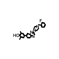 Cc1cc(-c2ccc3ncc(N4CCN(Cc5ccccc5F)CC4)nc3c2)cc(C)c1O